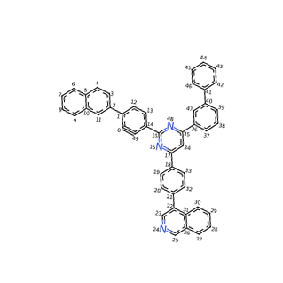 c1c(-c2ccc3ccccc3c2)ccc(-c2nc(-c3ccc(-c4cncc5ccccc45)cc3)cc(-c3cccc(-c4ccccc4)c3)n2)c#1